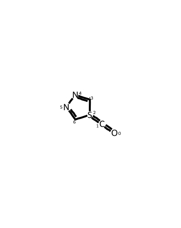 O=C=S1[C]=NN=C1